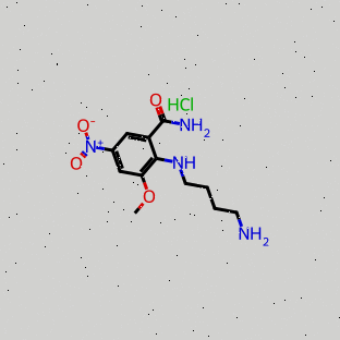 COc1cc([N+](=O)[O-])cc(C(N)=O)c1NCCCCN.Cl